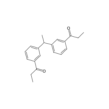 CCC(=O)c1cccc(C(C)c2cccc(C(=O)CC)c2)c1